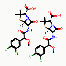 COC(C(=O)N[C@@H]1C(=O)N2[C@@H]1SC(C)(C)[C@@H]2C(=O)O)c1ccc(Cl)c(Cl)c1.COC(C(=O)N[C@@H]1C(=O)N2[C@@H]1SC(C)(C)[C@@H]2C(=O)O)c1ccc(Cl)c(Cl)c1